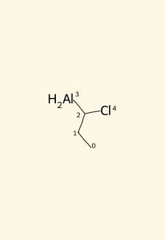 CC[CH]([AlH2])Cl